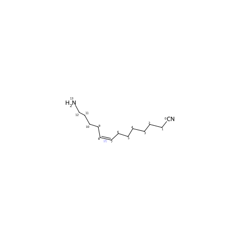 N#CCCCCCC/C=C\CCCCN